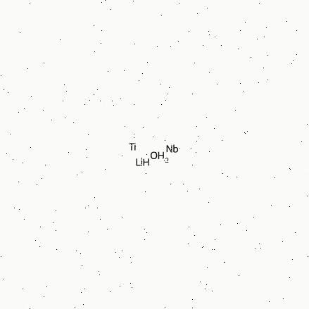 O.[LiH].[Nb].[Ti]